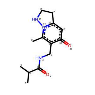 Cc1c(CNC(=O)C(C)C)c(=O)cc2n1NCC2